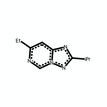 CCc1cc2nc(C(C)C)nn2cn1